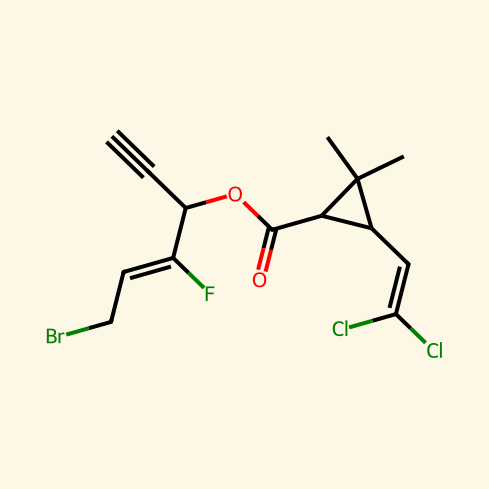 C#CC(OC(=O)C1C(C=C(Cl)Cl)C1(C)C)C(F)=CCBr